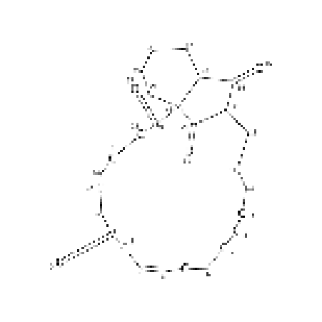 O=C1CC=CCCCCCCCCC2C(=O)C3CCCCC3(C(=O)CCCCC1)C2=O